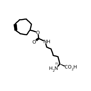 N[C@@H](CCCCNC(=O)OC1CCC#CCCC1)C(=O)O